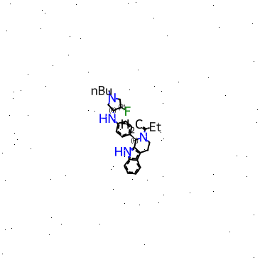 C=C(CC)N1CCc2c([nH]c3ccccc23)[C@H]1c1ccc(N[C@@H]2CN(CCCC)C[C@H]2F)cc1